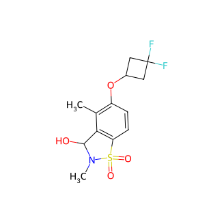 Cc1c(OC2CC(F)(F)C2)ccc2c1C(O)N(C)S2(=O)=O